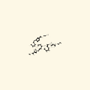 NCCNC(=O)C1=CC(CC2O[C@H](O)C(O)[C@@H](O)[C@@H]2O[C@H]2OC(Cn3cc(C(=O)NCN)nn3)[C@@H](O[C@H]3OC(CN4C=C(C(=O)NCCN)NN4)[C@@H](O)[C@H](O)C3O)[C@H](O)C2O)C=C1